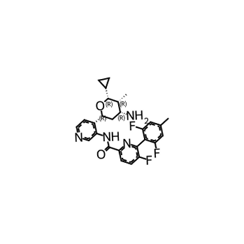 Cc1cc(F)c(-c2nc(C(=O)Nc3cnccc3[C@H]3C[C@@H](N)[C@@H](C)[C@@H](C4CC4)O3)ccc2F)c(F)c1